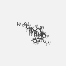 COc1ccc(-n2cc(-c3oc4c(C(C)Nc5ccccc5C(=O)O)cc(C)cc4c(=O)c3C)cn2)cc1